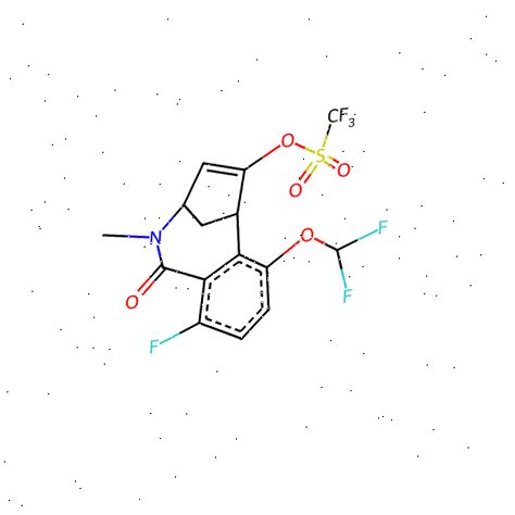 CN1C(=O)c2c(F)ccc(OC(F)F)c2C2CC1C=C2OS(=O)(=O)C(F)(F)F